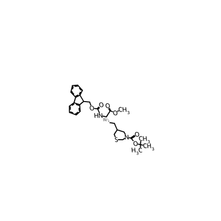 COC(=O)[C@H](CCC1CSCN(C(=O)OC(C)(C)C)C1)NC(=O)OCC1c2ccccc2-c2ccccc21